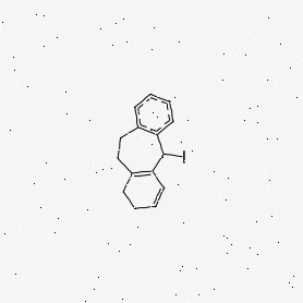 IC1C2=C(CCC=C2)CCc2ccccc21